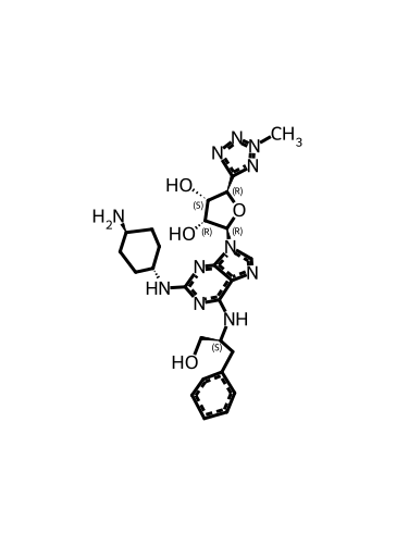 Cn1nnc([C@H]2O[C@@H](n3cnc4c(N[C@H](CO)Cc5ccccc5)nc(N[C@H]5CC[C@H](N)CC5)nc43)[C@H](O)[C@@H]2O)n1